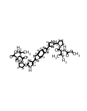 COC(=O)N[C@H](C(=O)N1CCCC1c1nc(-c2nc3cc4sc(-c5c[nH]c([C@@H]6CCCN6C(=O)[C@H](C(C)C)N(C)C(=O)O)n5)nc4cc3s2)c[nH]1)C(C)C